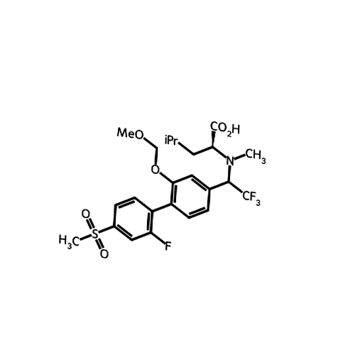 COCOc1cc(C(N(C)[C@@H](CC(C)C)C(=O)O)C(F)(F)F)ccc1-c1ccc(S(C)(=O)=O)cc1F